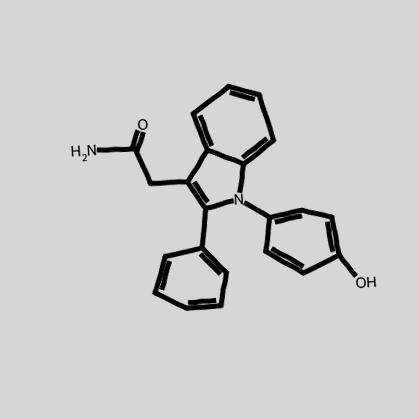 NC(=O)Cc1c(-c2ccccc2)n(-c2ccc(O)cc2)c2ccccc12